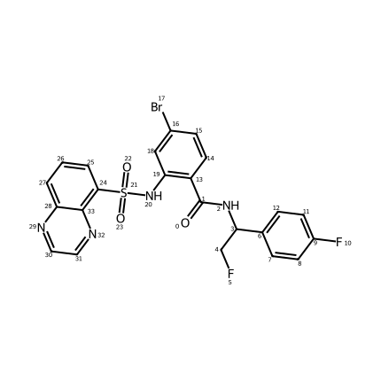 O=C(NC(CF)c1ccc(F)cc1)c1ccc(Br)cc1NS(=O)(=O)c1cccc2nccnc12